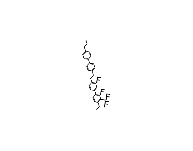 CCCc1ccc(-c2ccc(CCc3ccc(-c4ccc(CC)c(C(F)F)c4F)cc3F)cc2)cc1